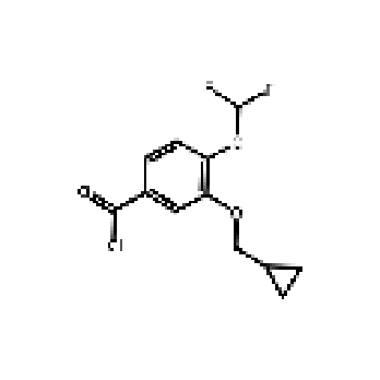 O=C(Cl)c1ccc(OC(F)F)c(OCC2CC2)c1